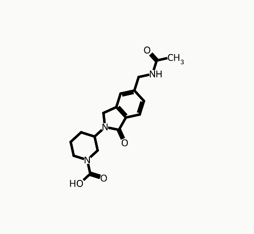 CC(=O)NCc1ccc2c(c1)CN(C1CCCN(C(=O)O)C1)C2=O